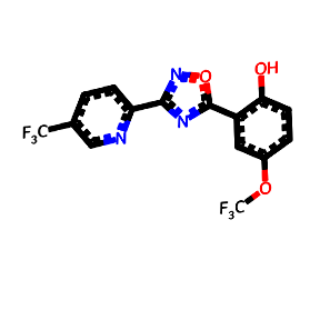 Oc1ccc(OC(F)(F)F)cc1-c1nc(-c2ccc(C(F)(F)F)cn2)no1